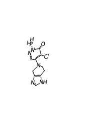 O=c1c(Cl)c(N2CCc3[nH]cnc3C2)cnn1PI